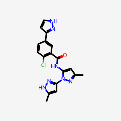 Cc1cc(NC(=O)c2cc(-c3cc[nH]n3)ccc2Cl)n(-c2cc(C)[nH]n2)n1